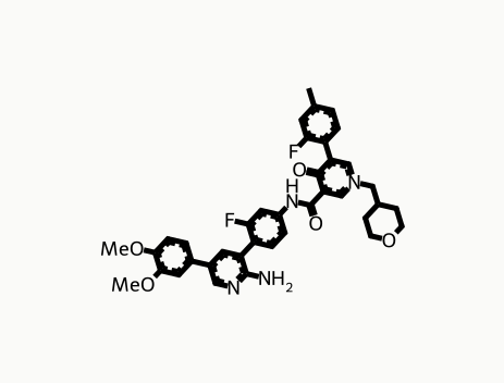 COc1ccc(-c2cnc(N)c(-c3ccc(NC(=O)c4cn(CC5CCOCC5)cc(-c5ccc(C)cc5F)c4=O)cc3F)c2)cc1OC